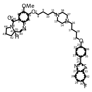 COc1cc2c(cc1OCCCCN1CCN(CCCCOc3ccc(-c4nc5ccc(F)cc5s4)cc3)CC1)N=C[C@@H]1CCCN1C2=O